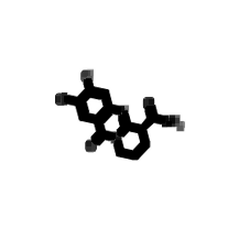 NC(=O)[C@H]1CCCn2c1nc1cc(Cl)c(Cl)cc1c2=O